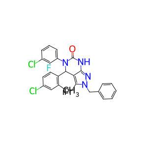 Cc1cc(Cl)ccc1C1c2c(nn(Cc3ccccc3)c2C(C)C)NC(=O)N1c1cccc(Cl)c1F